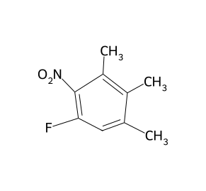 Cc1cc(F)c([N+](=O)[O-])c(C)c1C